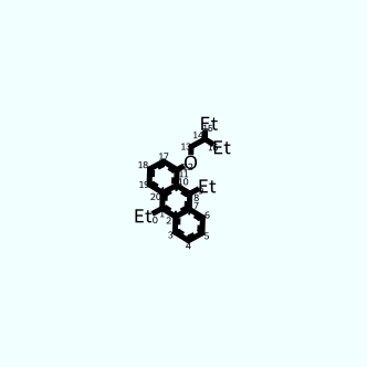 CCc1c2ccccc2c(CC)c2c(OCC(CC)CC)cccc12